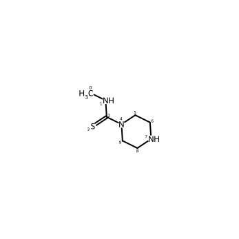 CNC(=S)N1CCNCC1